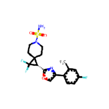 NS(=O)(=O)N1CCC2(CC1)[C@H](c1nc(-c3ccc(F)cc3C(F)(F)F)co1)C2(F)F